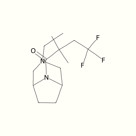 CCN1CC2CCC(C1)N2C(=O)C(C)(C)CC(F)(F)F